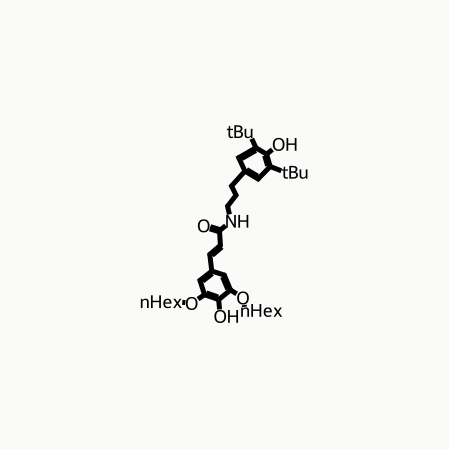 CCCCCCOc1cc(C=CC(=O)NCCCc2cc(C(C)(C)C)c(O)c(C(C)(C)C)c2)cc(OCCCCCC)c1O